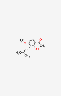 COc1ccc(C(C)=O)c(O)c1CC=C(C)C